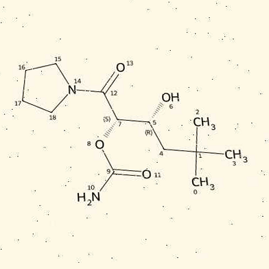 CC(C)(C)C[C@@H](O)[C@H](OC(N)=O)C(=O)N1CCCC1